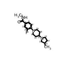 CNC(=O)c1ccc(N2CCC(N3CCC(C)C3)CC2)c(F)c1